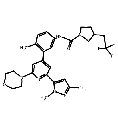 Cc1cc(-c2cc(-c3cc(NC(=O)N4CC[C@@H](CC(F)(F)F)C4)ccc3C)cc(N3CCOCC3)n2)n(C)n1